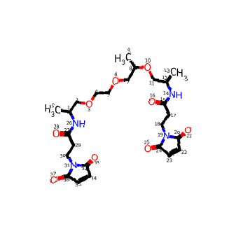 CC(COCCOCC(C)OCC(C)NC(=O)CCN1C(=O)C=CC1=O)NC(=O)CCN1C(=O)C=CC1=O